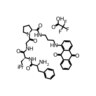 CC(C)C[C@H](NC(=O)[C@@H](N)Cc1ccccc1)C(=O)NCC(=O)N1CCC[C@H]1C(=O)NCCCNc1cccc2c1C(=O)c1ccccc1C2=O.O=C(O)C(F)(F)F